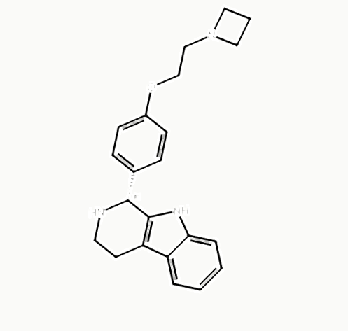 c1ccc2c3c([nH]c2c1)[C@@H](c1ccc(OCCN2CCC2)cc1)NCC3